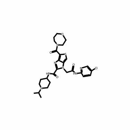 CC(C)N1CCC(NC(=O)c2nc3c(C(=O)N4CCCOCC4)scc3n2CC(=O)Nc2ccc(Cl)cn2)CC1